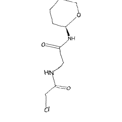 O=C(CCl)NCC(=O)N[C@H]1CCCCO1